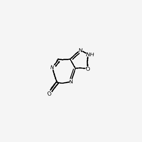 O=c1ncc2n[nH]oc-2n1